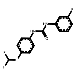 O=C(Nc1ccc(OC(F)F)cc1)Nc1cccc(F)c1